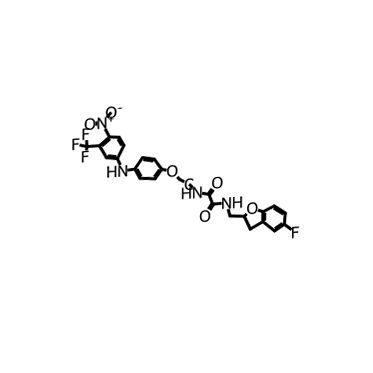 O=C(NCCOc1ccc(Nc2ccc([N+](=O)[O-])c(C(F)(F)F)c2)cc1)C(=O)NCC1Cc2cc(F)ccc2O1